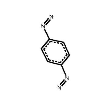 [N]=Nc1ccc(N=[N])cc1